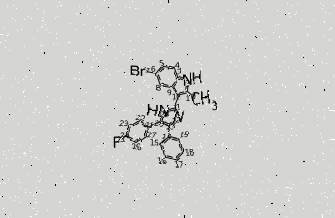 Cc1[nH]c2ccc(Br)cc2c1-c1nc(-c2ccccc2)c(-c2ccc(F)cc2)[nH]1